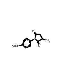 CC(=O)Nc1ccc(N2C(=O)CC(C)C2=O)cc1